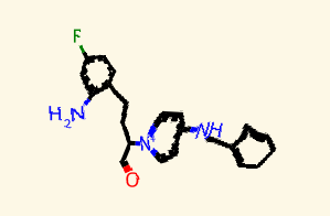 Nc1cc(F)ccc1CCC(C=O)[n+]1ccc(NCC2=CCCC=C2)cc1